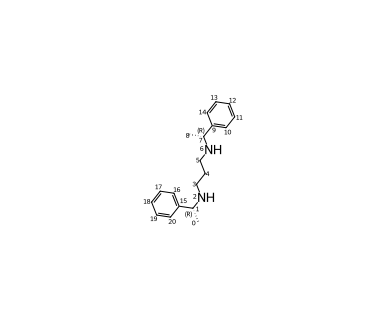 C[C@@H](NCCCN[C@H](C)c1ccccc1)c1ccccc1